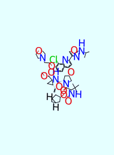 C=C[C@@H]1CC1(NC(=O)[C@@H]1CC(Oc2cc(-c3coc(NC(C)C)n3)nc3c(Cl)c(OCCN4CCOCC4)ccc23)CN1C(=O)[C@@H](NC(=O)O[C@@H]1C[C@@H]2C[C@@H]2C1)C(C)(C)C)C(=O)OC